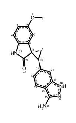 COc1ccc2c(c1)[C@]1(C[C@H]1c1ccc3c(N)n[nH]c3c1)C(=O)N2